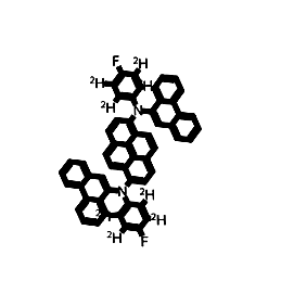 [2H]c1c([2H])c(N(c2cc3ccccc3c3ccccc23)c2ccc3ccc4c(N(c5c([2H])c([2H])c(F)c([2H])c5[2H])c5cc6ccccc6c6ccccc56)ccc5ccc2c3c54)c([2H])c([2H])c1F